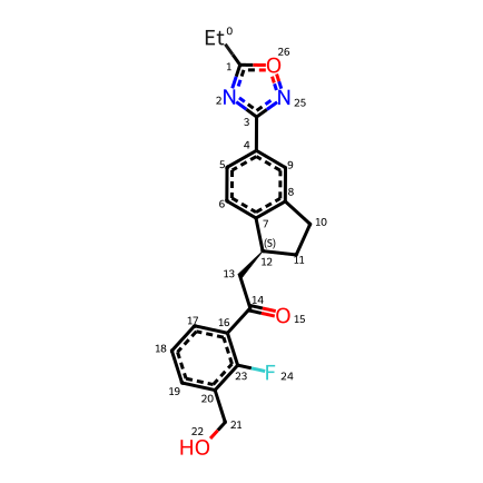 CCc1nc(-c2ccc3c(c2)CC[C@H]3CC(=O)c2cccc(CO)c2F)no1